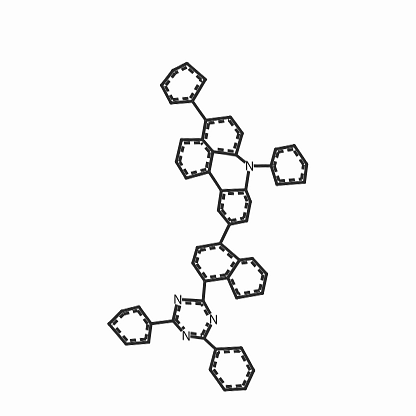 c1ccc(-c2nc(-c3ccccc3)nc(-c3ccc(-c4ccc5c(c4)-c4cccc6c(-c7ccccc7)ccc(c46)N5c4ccccc4)c4ccccc34)n2)cc1